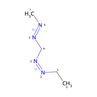 CC/N=N\C/N=N/C